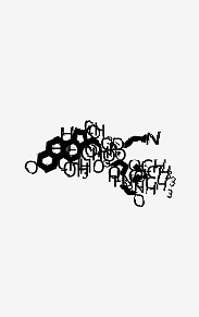 C[C@@H]1C[C@H]2[C@@H]3CCC4=CC(=O)C=C[C@]4(C)[C@@]3(F)[C@@H](O)C[C@]2(C)[C@@]1(O)C(=O)COP(=O)(OCCC#N)OC1C(O[Si](C)(C)C(C)(C)C)[C@H](n2ccc(=O)[nH]c2=O)O[C@@H]1CO